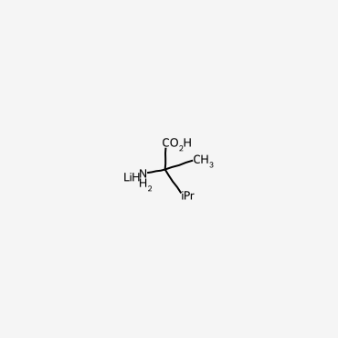 CC(C)C(C)(N)C(=O)O.[LiH]